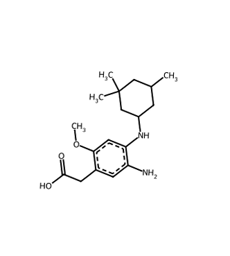 COc1cc(NC2CC(C)CC(C)(C)C2)c(N)cc1CC(=O)O